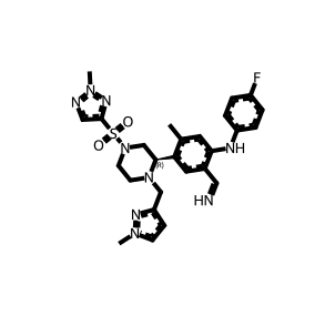 Cc1cc(Nc2ccc(F)cc2)c(C=N)cc1[C@@H]1CN(S(=O)(=O)c2cnn(C)n2)CCN1Cc1ccn(C)n1